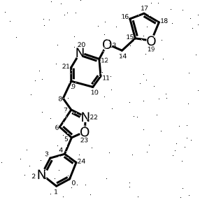 c1cncc(-c2cc(Cc3ccc(OCc4ccco4)nc3)no2)c1